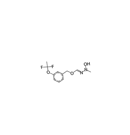 CN(O)/N=C/OCc1cccc(OC(C)(F)F)c1